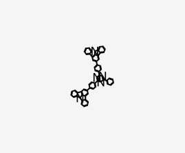 c1ccc(-c2nc(-c3ccc(-c4cc5c6ccccc6n6c7ccccc7c(c4)c56)cc3)nc(-c3ccc(-c4cc5c6ccccc6n6c7ccccc7c(c4)c56)cc3)n2)cc1